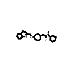 S=C(CC1CCCC(OCc2ccc3ccccc3n2)CC1)Nc1ccccc1